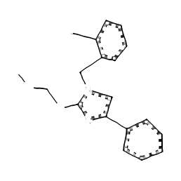 COCSc1nc(-c2ccccc2)cn1Cc1ccccc1Cl